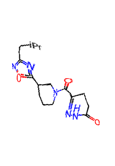 CC(C)Cc1noc(C2CCCN(C(=O)C3=NNC(=O)CC3)C2)n1